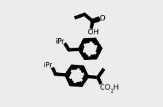 CC(C)Cc1ccc(C(C)C(=O)O)cc1.CC(C)Cc1ccccc1.CCC(=O)O